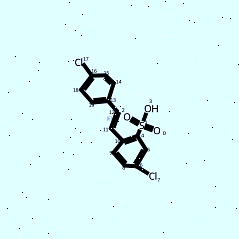 O=S(=O)(O)c1cc(Cl)ccc1/C=C/c1ccc(Cl)cc1